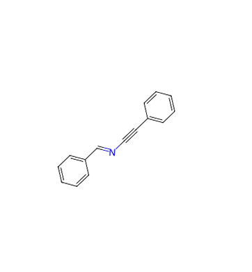 C(#Cc1ccccc1)N=Cc1ccccc1